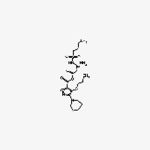 CCCCS(=O)(=O)N[C@H](N)CC(=O)OC(=O)c1onc(N2CCCCC2)c1OCCC